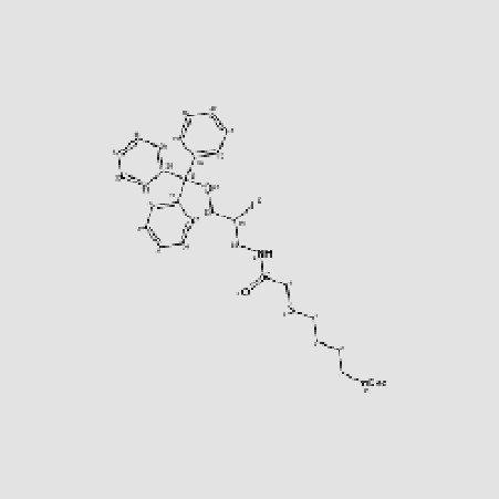 CCCCCCCCCCCCCCSCC(=O)NCC(I)COC(c1ccccc1)(c1ccccc1)c1ccccc1